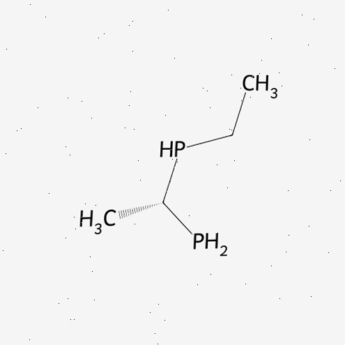 CCP[C@@H](C)P